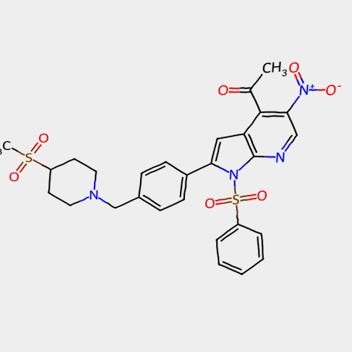 CC(=O)c1c([N+](=O)[O-])cnc2c1cc(-c1ccc(CN3CCC(S(C)(=O)=O)CC3)cc1)n2S(=O)(=O)c1ccccc1